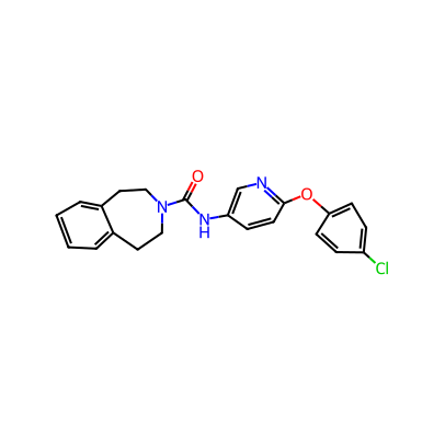 O=C(Nc1ccc(Oc2ccc(Cl)cc2)nc1)N1CCc2ccccc2CC1